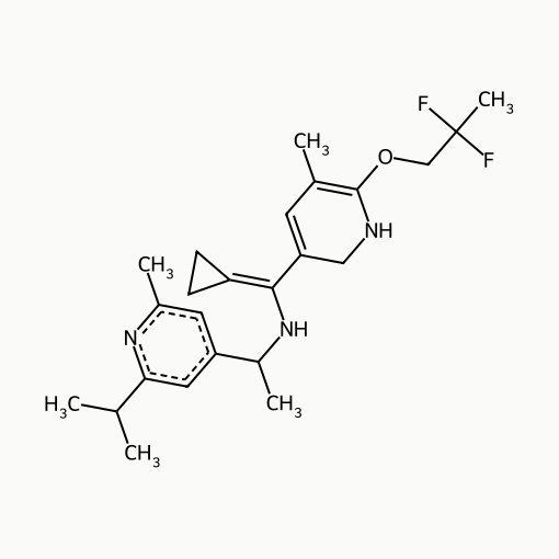 CC1=C(OCC(C)(F)F)NCC(C(NC(C)c2cc(C)nc(C(C)C)c2)=C2CC2)=C1